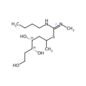 CCCCN/C(=N/C)SC(C)C[C@@H](O)[C@H](O)CCO